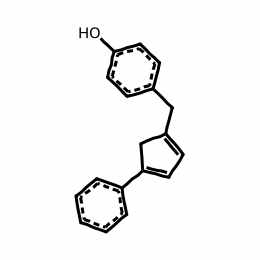 Oc1ccc(CC2=CC=C(c3ccccc3)C2)cc1